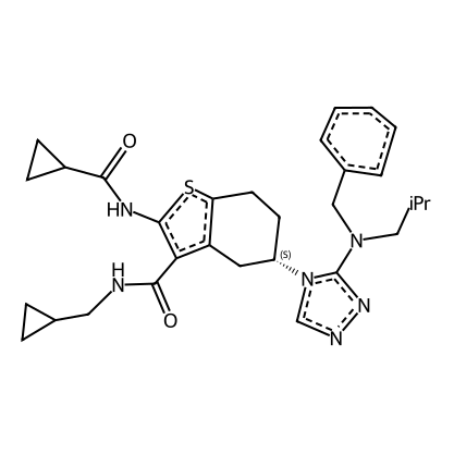 CC(C)CN(Cc1ccccc1)c1nncn1[C@H]1CCc2sc(NC(=O)C3CC3)c(C(=O)NCC3CC3)c2C1